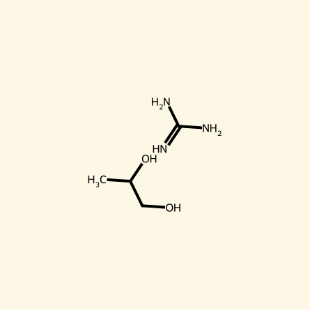 CC(O)CO.N=C(N)N